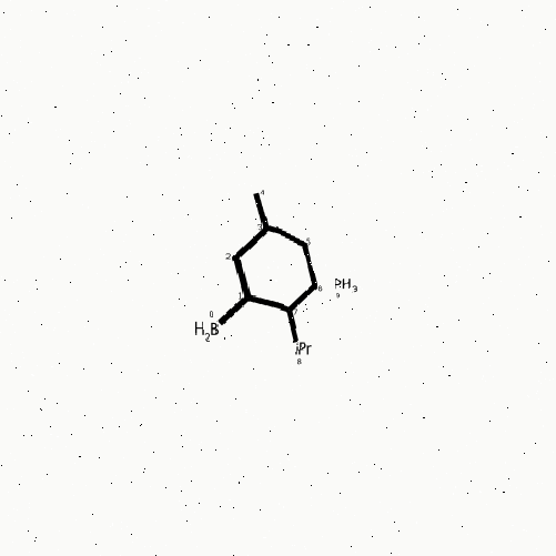 BC1CC(C)CCC1C(C)C.P